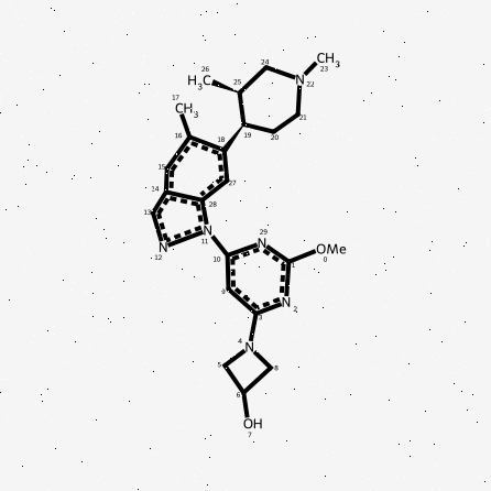 COc1nc(N2CC(O)C2)cc(-n2ncc3cc(C)c([C@@H]4CCN(C)C[C@@H]4C)cc32)n1